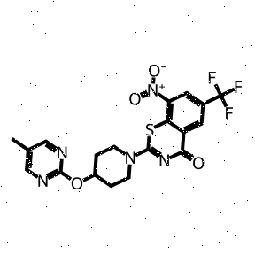 Cc1cnc(OC2CCN(c3nc(=O)c4cc(C(F)(F)F)cc([N+](=O)[O-])c4s3)CC2)nc1